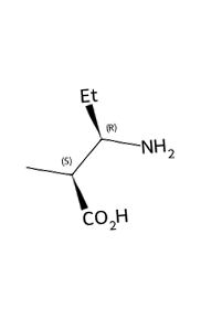 CC[C@@H](N)[C@H](C)C(=O)O